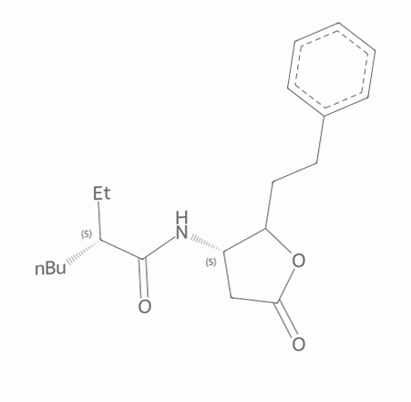 CCCC[C@H](CC)C(=O)N[C@H]1CC(=O)OC1CCc1ccccc1